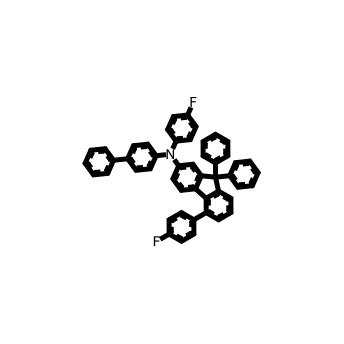 Fc1ccc(-c2cccc3c2-c2ccc(N(c4ccc(F)cc4)c4ccc(-c5ccccc5)cc4)cc2C3(c2ccccc2)c2ccccc2)cc1